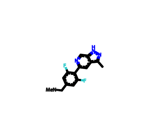 CNCc1cc(F)c(-c2cc3c(C)n[nH]c3cn2)c(F)c1